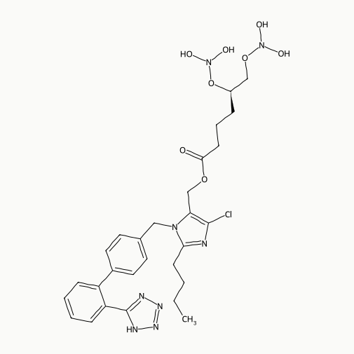 CCCCc1nc(Cl)c(COC(=O)CCC[C@H](CON(O)O)ON(O)O)n1Cc1ccc(-c2ccccc2-c2nnn[nH]2)cc1